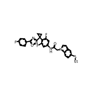 CCSc1ccc2c(ccn2CC(=O)Nc2cc(F)c(C3(c4noc(-c5ccc(F)cc5)n4)CC3)c(F)c2)c1